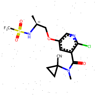 C[C@@H](COc1cnc(Cl)c(C(=O)N(C)C2(C#N)CC2)c1)NS(=O)(=O)C(F)(F)F